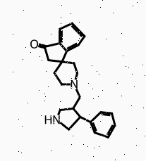 O=C1CC2(CCN(CC3CNCC3c3ccccc3)CC2)c2ccccc21